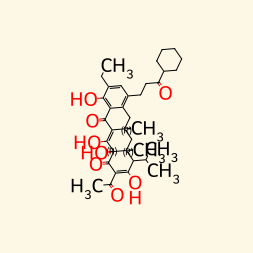 CCc1cc(CCC(=O)C2CCCCC2)c2c(c1O)C(=O)C1=C(O)[C@@]3(O)C(=O)C(C(C)=O)=C(O)C(C(C)C)[C@@]3(C)C[C@@]1(C)C2